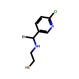 CCC(NCCS)c1ccc(Cl)nc1